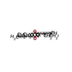 C/C(=C\CCc1ccc2c(c1)C(=O)c1ccc(CC/C=C(\C)CCCC(C)C)cc1C2=O)CCCC(C)C